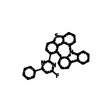 Fc1cc(-c2ccccc2)nc(-c2ccc3sc4cccc5c4c3c2c2cccc3c4ccccc4n5c32)n1